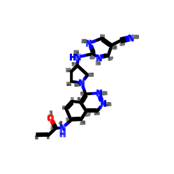 C=CC(=O)Nc1ccc2c(N3CC[C@@H](Nc4ncc(C#N)cn4)C3)nncc2c1